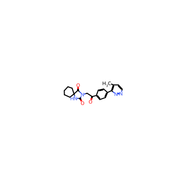 Cc1ccnnc1-c1ccc(C(=O)CN2C(=O)NC3(CCCCC3)C2=O)cc1